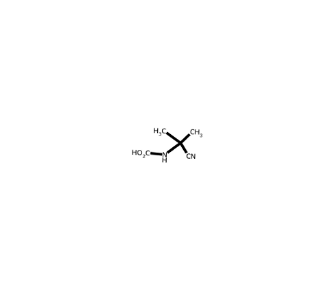 CC(C)(C#N)NC(=O)O